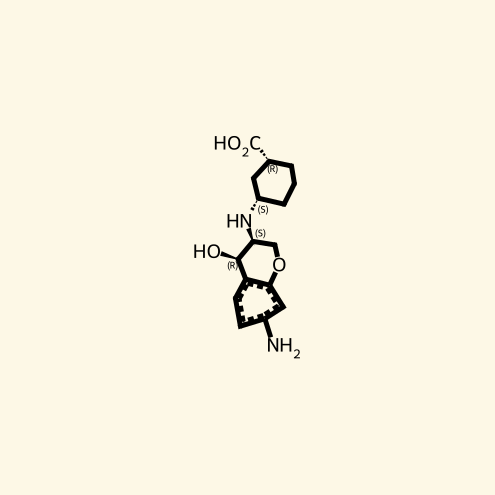 Nc1ccc2c(c1)OC[C@H](N[C@H]1CCC[C@@H](C(=O)O)C1)[C@@H]2O